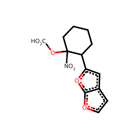 O=C(O)OC1([N+](=O)[O-])CCCCC1c1cc2ccoc2o1